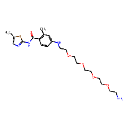 Cc1cnc(NC(=O)c2ccc(NCCOCCOCCOCCOCCN)cc2C)s1